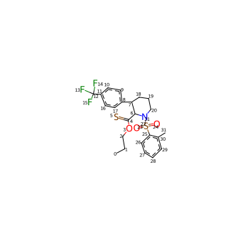 CCCOC(=S)C1C(c2ccc(C(F)(F)F)cc2)CCCN1S(=O)(=O)c1ccccc1C